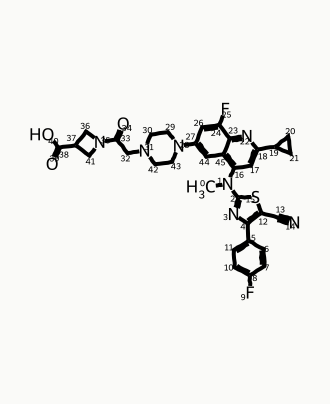 CN(c1nc(-c2ccc(F)cc2)c(C#N)s1)c1cc(C2CC2)nc2c(F)cc(N3CCN(CC(=O)N4CC(C(=O)O)C4)CC3)cc12